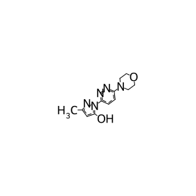 Cc1cc(O)n(-c2ccc(N3CCOCC3)nn2)n1